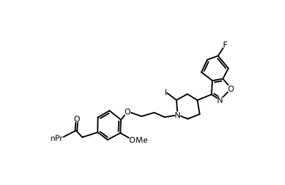 CCCC(=O)Cc1ccc(OCCCN2CCC(c3noc4cc(F)ccc34)CC2I)c(OC)c1